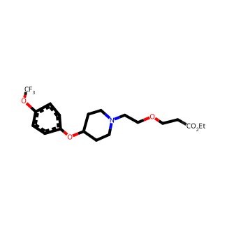 CCOC(=O)CCOCCN1CCC(Oc2ccc(OC(F)(F)F)cc2)CC1